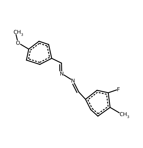 COc1ccc(C=NN=Cc2ccc(C)c(F)c2)cc1